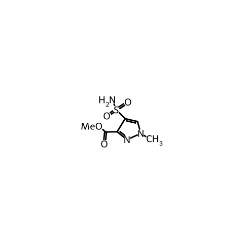 COC(=O)c1nn(C)cc1S(N)(=O)=O